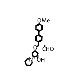 CC=O.COc1ccc(-c2ccc(CO[C@@H]3C[C@H](O)[C@@H](N4CCCCC4)C3)cc2)cc1